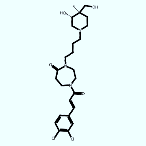 C[C@]1(CO)CCN(CCCCN2CCN(C(=O)/C=C/c3ccc(Cl)c(Cl)c3)CCC2=O)C[C@@H]1O